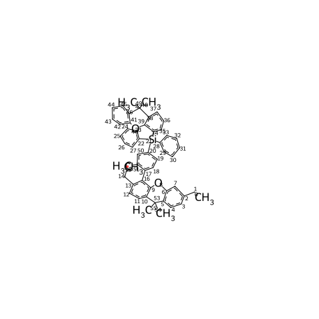 CCc1ccc2c(c1)Oc1c(ccc(CC)c1-c1ccc([Si](c3ccccc3)(c3ccccc3)c3cccc4c3Oc3ccccc3C4(C)C)cc1C)C2(C)C